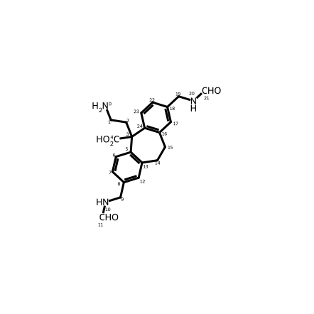 NCCC1(C(=O)O)c2ccc(CNC=O)cc2CCc2cc(CNC=O)ccc21